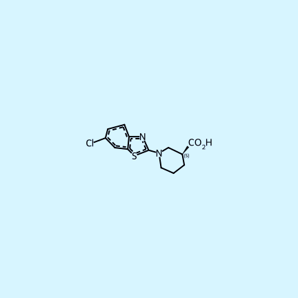 O=C(O)[C@H]1CCCN(c2nc3ccc(Cl)cc3s2)C1